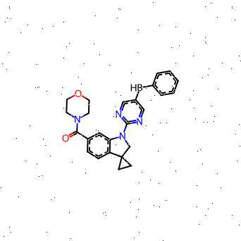 O=C(c1ccc2c(c1)N(c1ncc(Bc3ccccc3)cn1)CC21CC1)N1CCOCC1